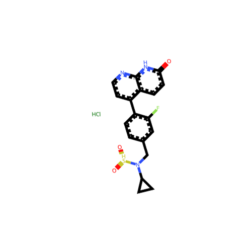 Cl.O=c1ccc2c(-c3ccc(CN(C4CC4)[SH](=O)=O)cc3F)ccnc2[nH]1